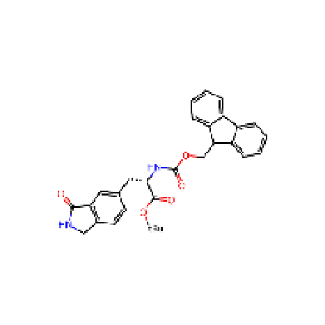 CC(C)(C)OC(=O)[C@H](Cc1ccc2c(c1)C(=O)NC2)NC(=O)OCC1c2ccccc2-c2ccccc21